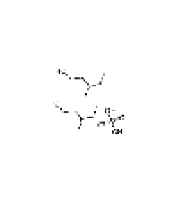 CCN(C)CCO.CCN(C)CCO.O=S(=O)(O)O